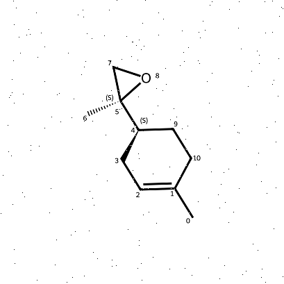 CC1=CC[C@@H]([C@@]2(C)CO2)CC1